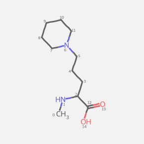 CNC(CCCN1CCCCC1)C(=O)O